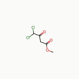 COC(=O)CC(=O)C(Cl)Cl